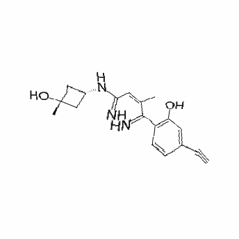 C#Cc1ccc(C(=N)/C(C)=C\C(=N)N[C@H]2C[C@@](C)(O)C2)c(O)c1